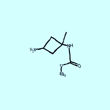 CC1(NC(=O)OC(C)(C)C)CC(N)C1